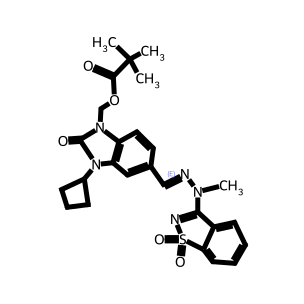 CN(/N=C/c1ccc2c(c1)n(C1CCC1)c(=O)n2COC(=O)C(C)(C)C)C1=NS(=O)(=O)c2ccccc21